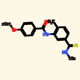 CCCCCCCCOc1ccc(C(=O)Nc2cc(C(=S)NCCCC)ccc2C)cc1